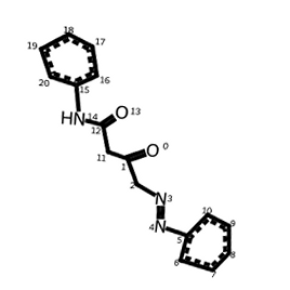 O=C(CN=Nc1ccccc1)CC(=O)Nc1ccccc1